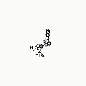 CC(C)(C)OC(=O)N1Cc2cc(N3Cc4cccc(NCc5ccc6cnccc6c5)c4C3=O)ccc2C(C)(C)C1